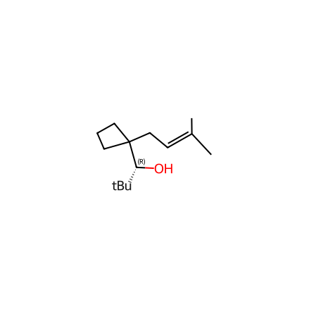 CC(C)=CCC1([C@H](O)C(C)(C)C)CCC1